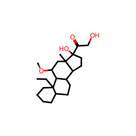 CCC12CCCCC1CCC1C2C(OC)CC2(C)C1CCC2(O)C(=O)CO